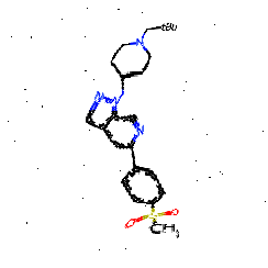 CC(C)(C)CN1CCC(n2ncc3cc(-c4ccc(S(C)(=O)=O)cc4)ncc32)CC1